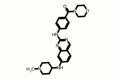 CN1CCC(Nc2ccc3cnc(Nc4ccc(C(=O)N5CCOCC5)cc4)nc3c2)CC1